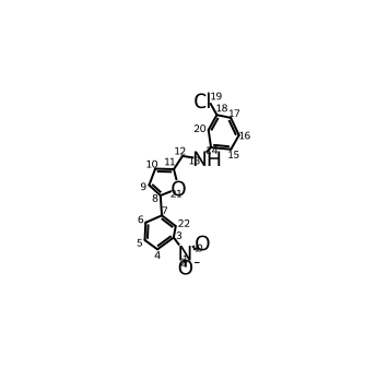 O=[N+]([O-])c1cccc(-c2ccc(CNc3cccc(Cl)c3)o2)c1